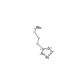 CC(C)(C)CCCc1nncs1